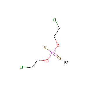 S=P([S-])(OCCCl)OCCCl.[K+]